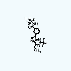 CCc1nc(C(F)(F)F)nc2c1ncn2-c1cccc(C(=O)NS(C)(=O)=O)c1